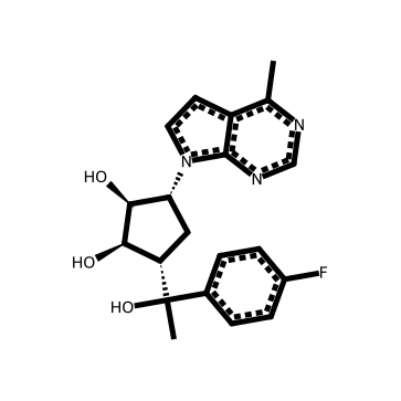 Cc1ncnc2c1ccn2[C@@H]1C[C@H](C(C)(O)c2ccc(F)cc2)[C@@H](O)[C@H]1O